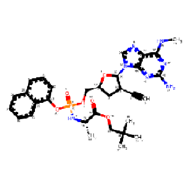 C#C[C@H]1C[C@@H](CO[P@@](=O)(N[C@@H](C)C(=O)OCC(C)(C)C)Oc2cccc3ccccc23)O[C@H]1n1cnc2c(NC)nc(N)nc21